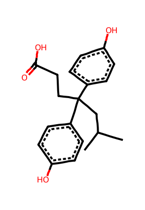 CC(C)CC(CCC(=O)O)(c1ccc(O)cc1)c1ccc(O)cc1